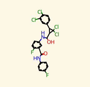 O=C(Nc1ccc(F)cc1)c1cc(NC(O)C2C(c3ccc(Cl)c(Cl)c3)C2(Cl)Cl)ccc1F